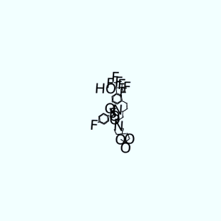 O=C1OCC2(CCN(C(=O)C[C@@H]3CCc4cc(C(O)(C(F)(F)F)C(F)(F)F)ccc4N3S(=O)(=O)c3ccc(F)cc3)C2)O1